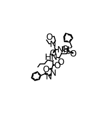 CCCCC(NC(=O)C(CS(=O)(=O)Cc1ccccc1)NC(=O)N1CCOCC1)C(=O)c1nnc(-c2ccccc2)o1